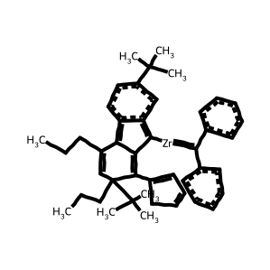 CCCC1=CC(CCC)(C(C)(C)C)C(C2=CC=CC2)=C2[C]([Zr]=[C](c3ccccc3)c3ccccc3)=c3cc(C(C)(C)C)ccc3=C12